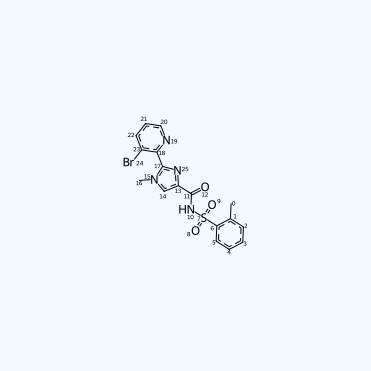 Cc1ccccc1S(=O)(=O)NC(=O)c1cn(C)c(-c2ncccc2Br)n1